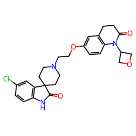 O=C1CCc2cc(OCCN3CCC4(CC3)C(=O)Nc3ccc(Cl)cc34)ccc2N1C1COC1